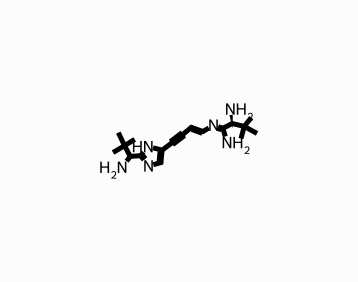 CC(C)(C)C(N)c1ncc(C#C/C=C/N=C(\N)[C@@H](N)C(C)(C)C)[nH]1